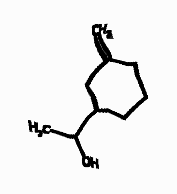 C=C1CCCC(C(C)O)C1